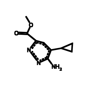 COC(=O)c1cc(C2CC2)c(N)nn1